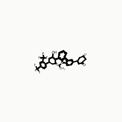 CCn1c2ccc(C3CC(=O)CC(=O)C3)cc2c2cccc(C3C(=O)CC(c4ccc(C(F)(F)F)cc4C(F)(F)F)CC3O)c21